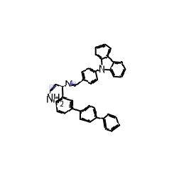 N/C=C\C(/N=C/c1ccc(-n2c3ccccc3c3ccccc32)cc1)c1cccc(-c2ccc(-c3ccccc3)cc2)c1